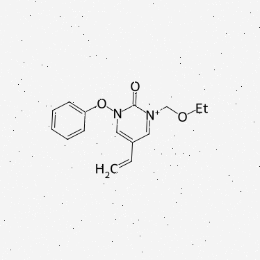 C=Cc1cn(Oc2ccccc2)c(=O)[n+](COCC)c1